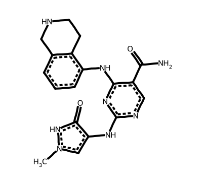 Cn1cc(Nc2ncc(C(N)=O)c(Nc3cccc4c3CCNC4)n2)c(=O)[nH]1